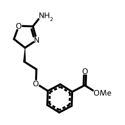 COC(=O)c1cccc(OCC[C@H]2COC(N)=N2)c1